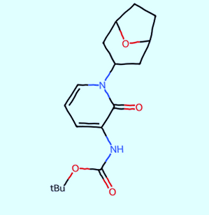 CC(C)(C)OC(=O)Nc1cccn(C2CC3CCC(C2)O3)c1=O